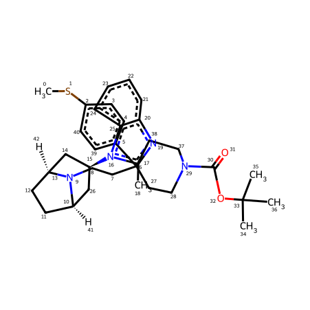 CSc1ccc(C2(CCN3[C@@H]4CC[C@H]3C[C@@H](n3c(C)nc5ccccc53)C4)CCN(C(=O)OC(C)(C)C)CC2)cc1